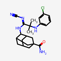 CC(C)(Nc1cccc(Cl)c1)/C(=N/C#N)NC1C2CC3CC1CC(C(N)=O)(C3)C2